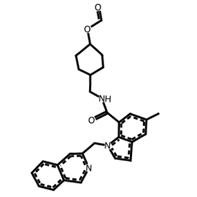 Cc1cc(C(=O)NCC2CCC(OC=O)CC2)c2c(ccn2Cc2cc3ccccc3cn2)c1